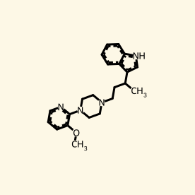 COc1cccnc1N1CCN(CCC(C)c2c[nH]c3ccccc23)CC1